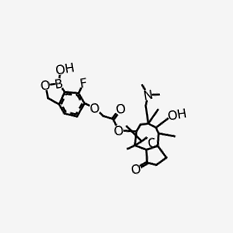 CC1C(O)C(C)(CN(C)C)CC(OC(=O)COc2ccc3c(c2F)B(O)OC3)C2(C)C(C)CCC13CCC(=O)C32